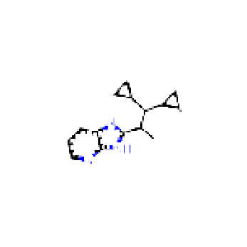 CC(c1nc2cccnc2[nH]1)C(C1CC1)C1CC1